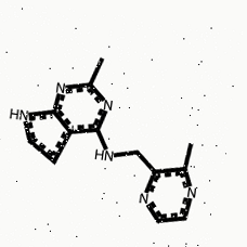 Cc1nc(NCc2nccnc2C)c2cc[nH]c2n1